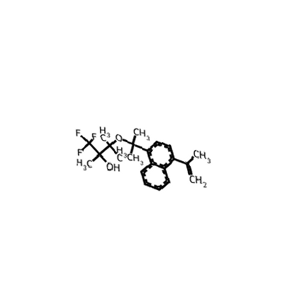 C=C(C)c1ccc(C(C)(C)OC(C)(C)C(C)(O)C(F)(F)F)c2ccccc12